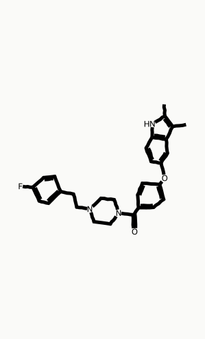 Cc1[nH]c2ccc(Oc3ccc(C(=O)N4CCN(CCc5ccc(F)cc5)CC4)cc3)cc2c1C